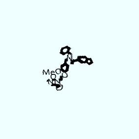 COc1cc(CN(CC2CCCCC2)C(C)c2ccc3c(c2)CCC3)ccc1OCCN1C(=O)CN(C)C1=O